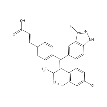 CC(C)C(=C(c1ccc(C=CC(=O)O)cc1)c1ccc2[nH]nc(F)c2c1)c1ccc(Cl)cc1F